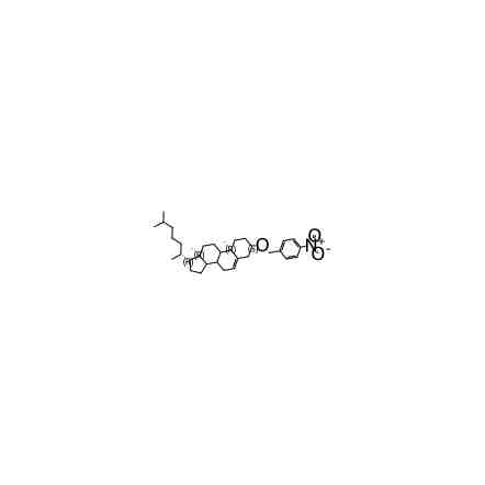 CC(C)CCCC(C)[C@H]1CCC2C3CC=C4C[C@@H](OCc5ccc([N+](=O)[O-])cc5)CC[C@]4(C)C3CC[C@@]21C